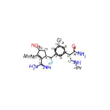 CNC1=C(C(=N)N)[C@H](C(F)c2cc([C@@H](CNC(C)C)C(N)=O)cc(C(F)(F)F)c2)CC1O